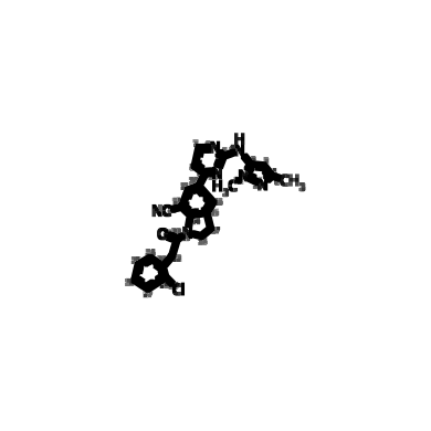 Cc1cc(Nc2nccc(-c3cc(C#N)c4c(c3)CCN4C(=O)Cc3ccccc3Cl)n2)n(C)n1